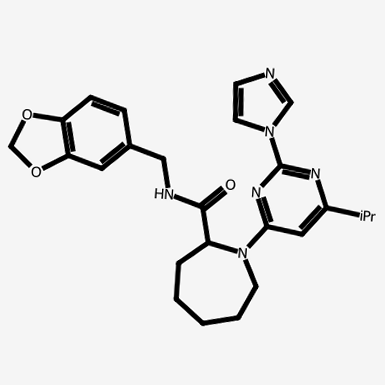 CC(C)c1cc(N2CCCCCC2C(=O)NCc2ccc3c(c2)OCO3)nc(-n2ccnc2)n1